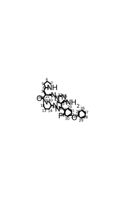 N#CC(=CC1CCCN1)C(=O)N1CCCC(n2nc(-c3ccc(Oc4ccccc4)cc3F)c3c(N)ncnc32)C1